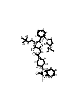 CN(C)[C@@H]1CCN(c2ccccc2C2SC(CC(=O)N3CCC(n4c(=O)[nH]c5ncccc54)CC3)C(=O)N2CCC(C)(C)C)C1